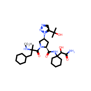 CC(CC1CCCCC1)(NC(=O)O)C(=O)N1C[C@@H](n2nncc2C(C)(C)O)C[C@H]1C(=O)NC1(C(O)C(N)=O)CCCCC1